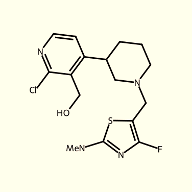 CNc1nc(F)c(CN2CCCC(c3ccnc(Cl)c3CO)C2)s1